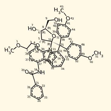 COCCO[C@@H]1[C@H](O)[C@@H](CO)O[C@]1(n1cnc2c(NC(=O)c3ccccc3)ncnc21)C(c1ccccc1)(c1ccc(OC)cc1)c1ccc(OC)cc1